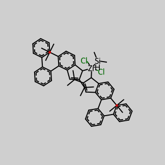 CC(C)C1=Cc2c(ccc(C(C)(C)C)c2-c2ccccc2-c2ccccc2)[CH]1[Zr]([Cl])([Cl])([CH]1C(C(C)C)=Cc2c1ccc(C(C)(C)C)c2-c1ccccc1-c1ccccc1)[SiH](C)C